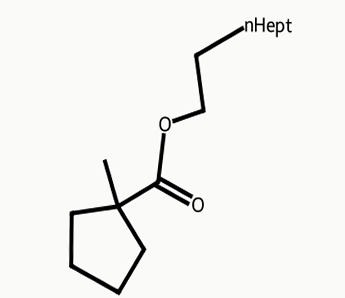 CCCCCCCCCOC(=O)C1(C)CCCC1